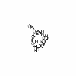 Nc1cc2ccc1-c1ccnc(n1)Nc1ccc(OCC3COC3)c(c1)COCCCCNC2=O